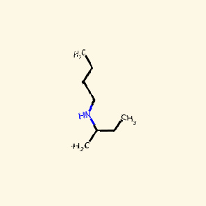 [CH2]C(CC)NCCCC